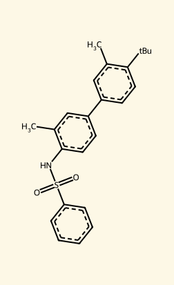 Cc1cc(-c2ccc(C(C)(C)C)c(C)c2)ccc1NS(=O)(=O)c1ccccc1